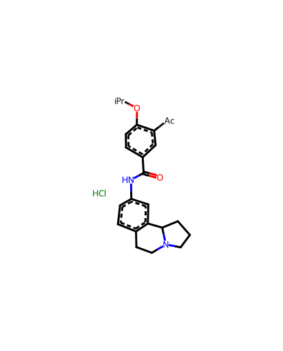 CC(=O)c1cc(C(=O)Nc2ccc3c(c2)C2CCCN2CC3)ccc1OC(C)C.Cl